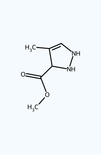 COC(=O)C1NNC=C1C